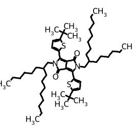 CCCCCCCCC(CCCCCC)CN1C(=O)C2=C(c3ccc(C(C)(C)C)s3)N(CC(CCCCCC)CCCCCCCC)C(=O)C2=C1c1ccc(C(C)(C)C)s1